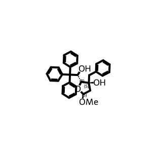 CO[C@@H]1C[C@@](O)(Cc2ccccc2)[C@@H](C(O)C(c2ccccc2)(c2ccccc2)c2ccccc2)O1